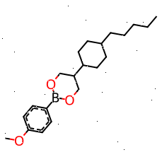 CCCCCC1CCC(C2COB(c3ccc(OC)cc3)OC2)CC1